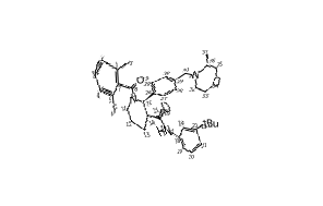 Cc1cccc(F)c1C(=O)N1CCC[C@H](C(=O)Nc2cccc(C(C)(C)C)c2)[C@@H]1c1ccc(CN2CCOC[C@@H]2C)cc1